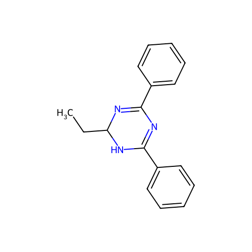 CCC1N=C(c2ccccc2)N=C(c2ccccc2)N1